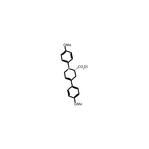 CCOC(=O)[C@@H]1CC(c2ccc(OC)cc2)=CCN1c1ccc(OC)cc1